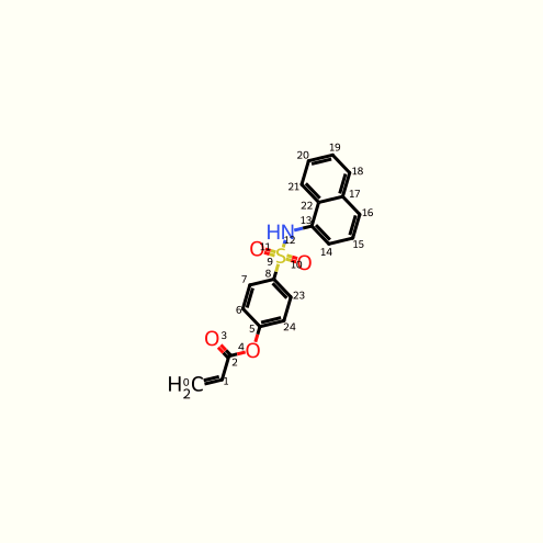 C=CC(=O)Oc1ccc(S(=O)(=O)Nc2cccc3ccccc23)cc1